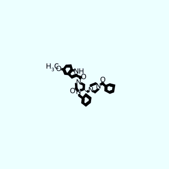 COc1ccc2[nH]c(C(=O)N3CC(=O)N(Cc4ccccc4)[C@@H](CN4CCN(C(=O)c5ccccc5)CC4)C3)cc2c1